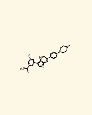 CN1CCN(c2ccc(-c3cnc4c(-c5cc(F)cc(C(N)=O)c5)coc4c3)cc2)CC1